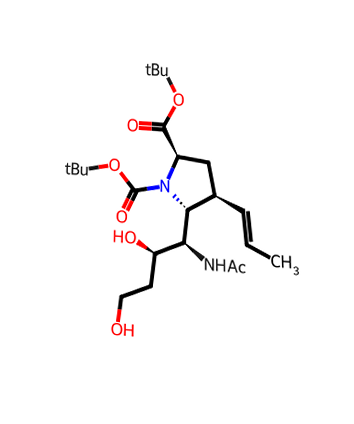 CC=C[C@@H]1C[C@H](C(=O)OC(C)(C)C)N(C(=O)OC(C)(C)C)[C@H]1[C@@H](NC(C)=O)[C@H](O)CCO